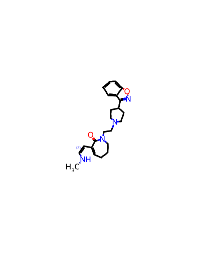 CN/C=C\C1=CCCCN(CCN2CCC(c3noc4ccccc34)CC2)C1=O